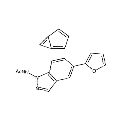 CC(=O)Nn1ncc2cc(-c3ccco3)ccc21.c1cc2cc-2c1